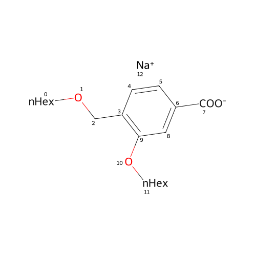 CCCCCCOCc1ccc(C(=O)[O-])cc1OCCCCCC.[Na+]